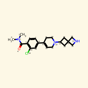 CN(C)C(=O)c1ccc(C2=CCN(C3CC4(CNC4)C3)CC2)cc1Cl